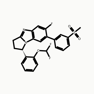 CS(=O)(=O)c1cccc(-c2cc3c(cc2F)nc2n3[C@H](c3ccccc3OC(F)F)CC2)c1